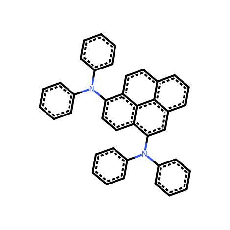 c1ccc(N(c2ccccc2)c2ccc3c(N(c4ccccc4)c4ccccc4)cc4cccc5ccc2c3c54)cc1